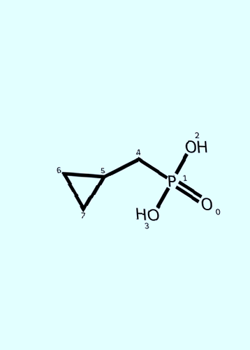 O=P(O)(O)CC1CC1